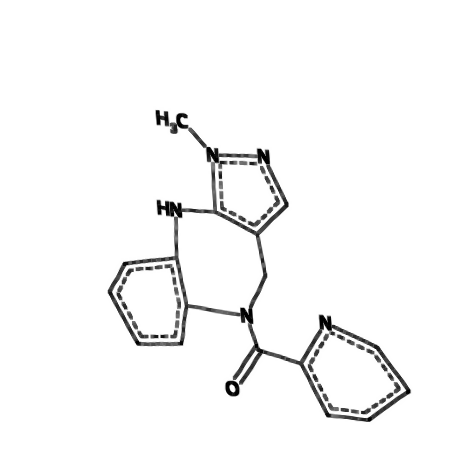 Cn1ncc2c1Nc1ccccc1N(C(=O)c1ccccn1)C2